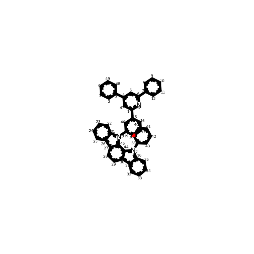 c1ccc(-c2cc(-c3ccccc3)nc(-c3cccc(-n4c5ccccc5c5ccc6c7ccccc7n(-c7ccccc7)c6c54)c3)c2)cc1